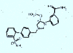 N=C(N)c1cccc([C@H]2CN(Cc3ccc(-c4ccccc4S(N)(=O)=O)cc3)C[C@@H]2OC(=O)O)c1